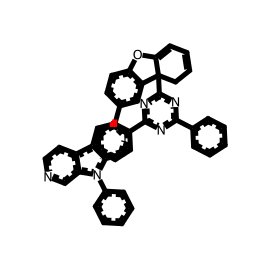 C1=CCC2(c3nc(-c4ccccc4)nc(-c4ccccc4)n3)C(=C1)Oc1ccc(-c3cc4c5ccncc5n(-c5ccccc5)c4cn3)cc12